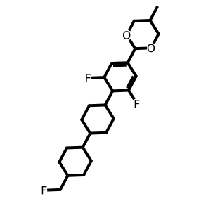 CC1COC(C2=CC(F)C(C3CCC(C4CCC(CF)CC4)CC3)C(F)=C2)OC1